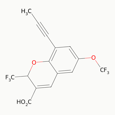 CC#Cc1cc(OC(F)(F)F)cc2c1OC(C(F)(F)F)C(C(=O)O)=C2